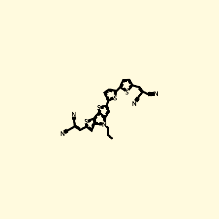 CCCn1c2cc(C=C(C#N)C#N)sc2c2sc(-c3ccc(-c4ccc(C=C(C#N)C#N)s4)s3)cc21